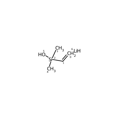 C=C[Si](C)(C)O.[LiH]